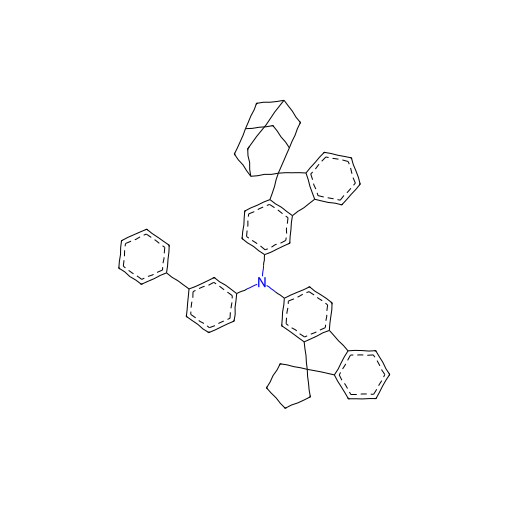 c1ccc(-c2cccc(N(c3ccc4c(c3)-c3ccccc3C43C4CC5CC(C4)CC3C5)c3ccc4c(c3)C3(CCCC3)c3ccccc3-4)c2)cc1